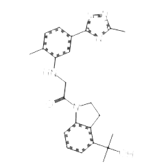 Cc1nsc(-c2ccc(C)c(NCC(=O)N3CCc4c3cccc4C(C)(C)O)c2)n1